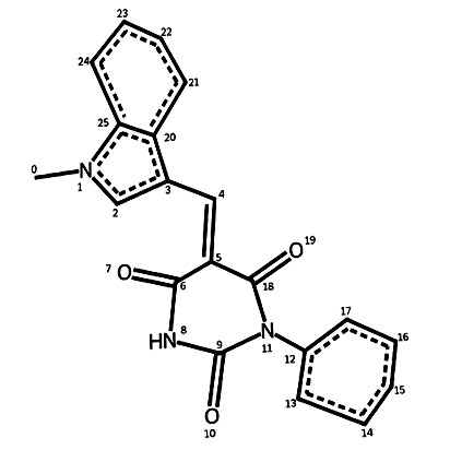 Cn1cc(C=C2C(=O)NC(=O)N(c3ccccc3)C2=O)c2ccccc21